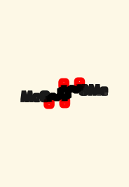 COC(=O)CCC1CC(=O)C(CCC(=O)OC)CC1=O